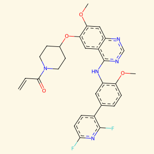 C=CC(=O)N1CCC(Oc2cc3c(Nc4cc(-c5ccc(F)nc5F)ccc4OC)ncnc3cc2OC)CC1